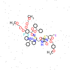 COCCOCOc1cc(C(O/N=S2/C=C(CC(=O)N[C@@H]3C(=O)N4C(C(=O)OCc5ccc(OC)cc5)=C(C=CCI)CS[C@@H]34)N=C2NC(c2ccccc2)(c2ccccc2)c2ccccc2)C(=O)OC(c2ccccc2)c2ccccc2)c(F)c(F)c1OCOCCOC